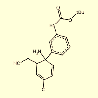 CC(C)(C)OC(=O)Nc1cccc(C2(N)C=CC(Cl)=CC2CO)c1